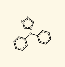 c1ccc(Oc2ccccc2)cc1.c1nnco1